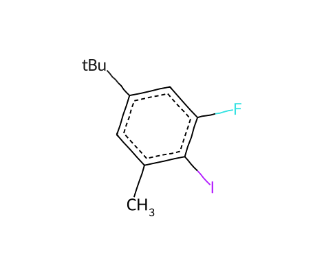 Cc1cc(C(C)(C)C)cc(F)c1I